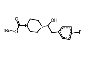 CC(C)(C)OC(=O)N1CCN(C(O)Cc2ccc(F)cc2)CC1